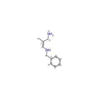 C/C(=C/NCc1ccccc1)CN